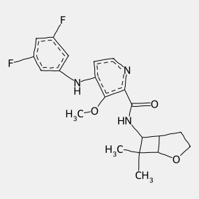 COc1c(Nc2cc(F)cc(F)c2)ccnc1C(=O)NC1C2CCOC2C1(C)C